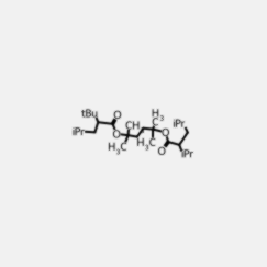 CC(C)CC(C(=O)OC(C)(C)CCC(C)(C)OC(=O)C(CC(C)C)C(C)(C)C)C(C)C